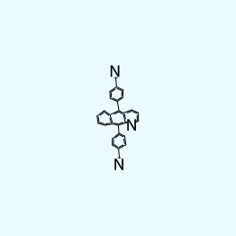 N#Cc1ccc(-c2c3ccccc3c(-c3ccc(C#N)cc3)c3ncccc23)cc1